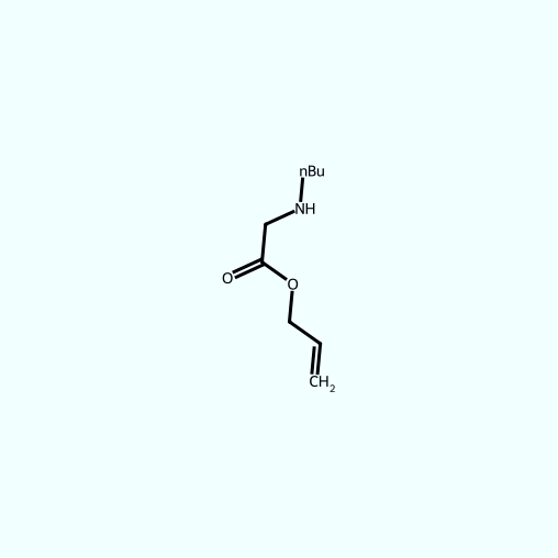 C=CCOC(=O)CNCCCC